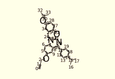 C#CCOc1ccc2c(c1)c(-c1ccc(C(C)C)cc1)nc(=O)n2Cc1cccc(OC(C)C)c1